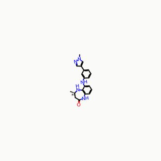 C[C@@H]1CC(=O)Nc2cccc(Nc3cccc(-c4cnn(C)c4)c3)c2N1